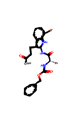 COC(=O)CCc1c(NC(=O)[C@@H](NC(=O)OCc2ccccc2)C(C)C)[nH]c2c(Br)cccc12